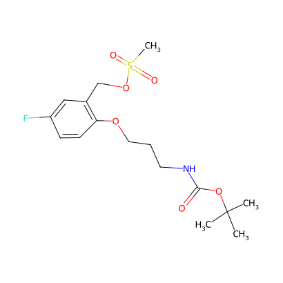 CC(C)(C)OC(=O)NCCCOc1ccc(F)cc1COS(C)(=O)=O